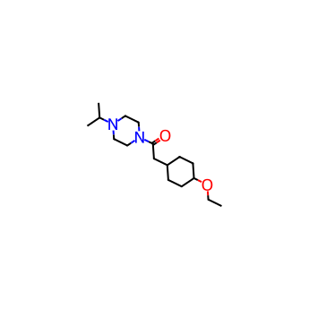 CCOC1CCC(CC(=O)N2CCN(C(C)C)CC2)CC1